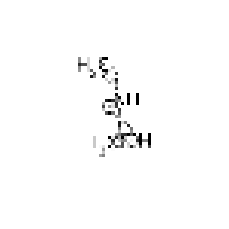 COc1cc(/C=C/C(=O)NCCc2ccc(C)cc2)ccc1O